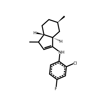 CC1C=C(Nc2ccc(F)cc2Cl)[C@@H]2C[C@H](C)CC[C@@H]12